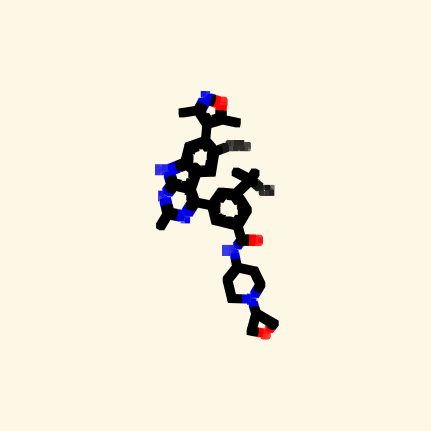 COc1cc2c(cc1-c1c(C)noc1C)[nH]c1nc(C)nc(-c3cc(C(=O)NC4CCN(C5COC5)CC4)cc(C(C)(C)C#N)c3)c12